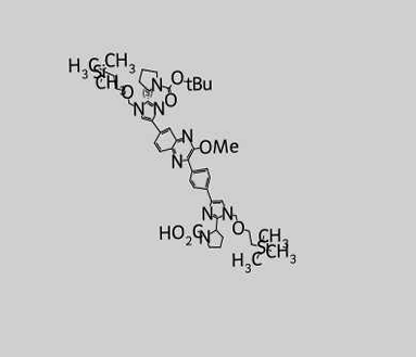 COc1nc2cc(-c3cn(COCC[Si](C)(C)C)c([C@@H]4CCCN4C(=O)OC(C)(C)C)n3)ccc2nc1-c1ccc(-c2cn(COCC[Si](C)(C)C)c(C3CCCN3C(=O)O)n2)cc1